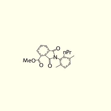 CCCc1c(C)ccc(C)c1N1C(=O)c2cccc(C(=O)OC)c2C1=O